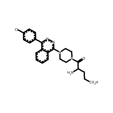 NC(CCC(=O)O)C(=O)N1CCN(c2nnc(-c3ccc(Cl)cc3)c3ccccc23)CC1